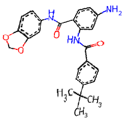 CC(C)(C)c1ccc(C(=O)Nc2cc(N)ccc2C(=O)Nc2ccc3c(c2)OCO3)cc1